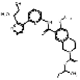 COc1cc2c(cc1C(=O)Nc1cccc(-c3nnnn3[C@H](C)CO)n1)CN(C(=O)OC(C)C)CC2